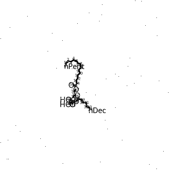 CCCCC/C=C\C/C=C\C/C=C\CCCCCCC(=O)OC[C@H](COP(=O)(O)O)OC(=O)CCCCCCCCCCCCCCC